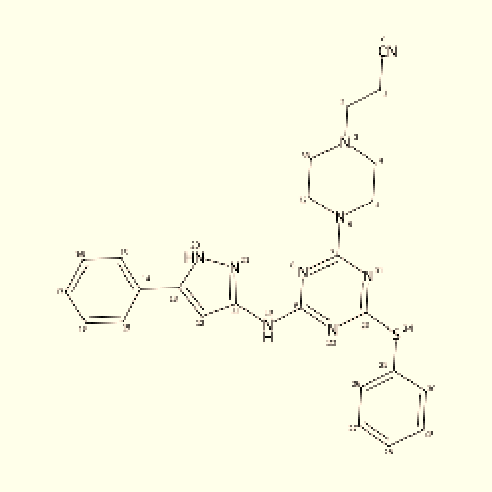 N#CCCN1CCN(c2nc(Nc3cc(-c4ccccc4)[nH]n3)nc(Sc3ccccc3)n2)CC1